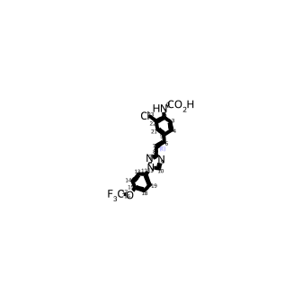 O=C(O)Nc1ccc(/C=C/c2ncn(-c3ccc(OC(F)(F)F)cc3)n2)cc1Cl